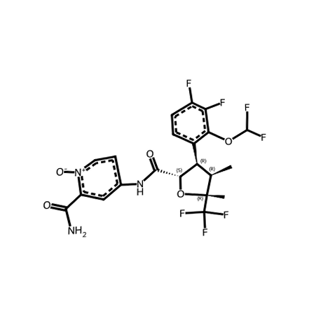 C[C@@H]1[C@H](c2ccc(F)c(F)c2OC(F)F)[C@@H](C(=O)Nc2cc[n+]([O-])c(C(N)=O)c2)O[C@@]1(C)C(F)(F)F